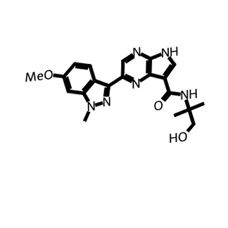 COc1ccc2c(-c3cnc4[nH]cc(C(=O)NC(C)(C)CO)c4n3)nn(C)c2c1